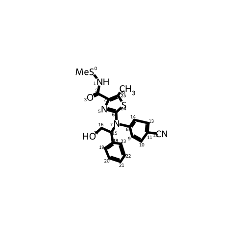 CSNC(=O)c1nc(N(c2ccc(C#N)cc2)C(CO)c2ccccc2)sc1C